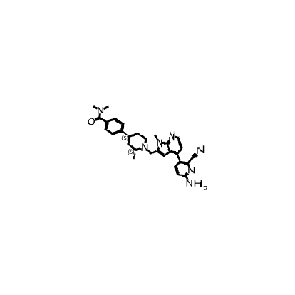 C[C@H]1C[C@@H](c2ccc(C(=O)N(C)C)cc2)CCN1Cc1cc2c(-c3ccc(N)nc3C#N)ccnc2n1C